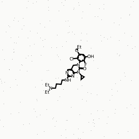 CCOc1cc(O)c(F)c(N2Cc3cnc(NCCCCN(CC)CC)nc3N(C3CC3)C2=O)c1Cl